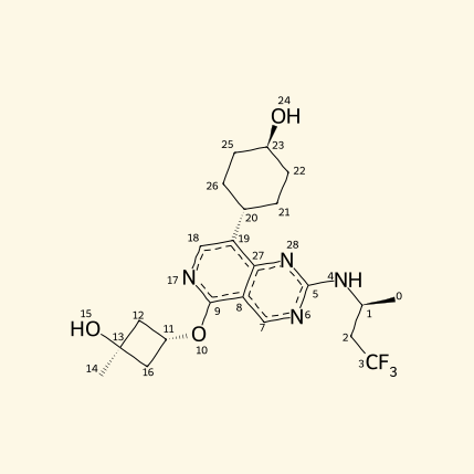 C[C@@H](CC(F)(F)F)Nc1ncc2c(O[C@H]3C[C@](C)(O)C3)ncc([C@H]3CC[C@H](O)CC3)c2n1